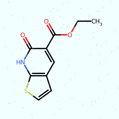 CCOC(=O)c1cc2ccsc2[nH]c1=O